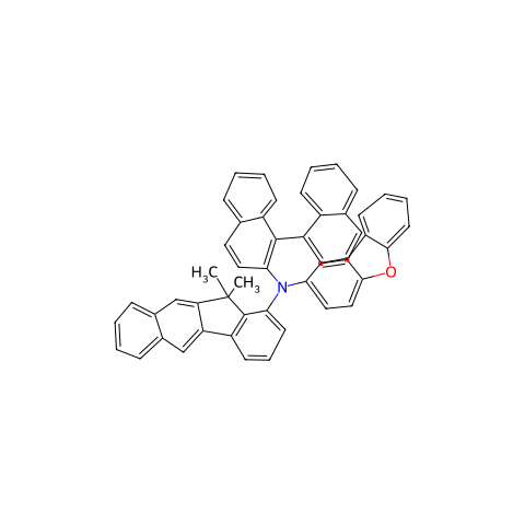 CC1(C)c2cc3ccccc3cc2-c2cccc(N(c3ccc4oc5ccccc5c4c3)c3ccc4ccccc4c3-c3cccc4ccccc34)c21